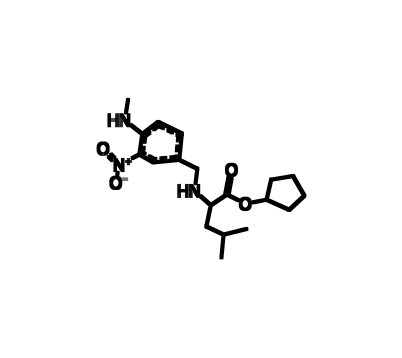 CNc1ccc(CNC(CC(C)C)C(=O)OC2CCCC2)cc1[N+](=O)[O-]